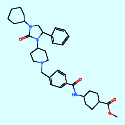 COC(=O)C1CCC(NC(=O)c2ccc(CN3CCC(N4C(=O)N(C5CCCCC5)CC4c4ccccc4)CC3)cc2)CC1